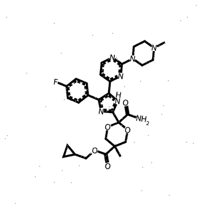 CN1CCN(c2nccc(-c3[nH]c(C4(C(N)=O)OCC(C)(C(=O)OCC5CC5)CO4)nc3-c3ccc(F)cc3)n2)CC1